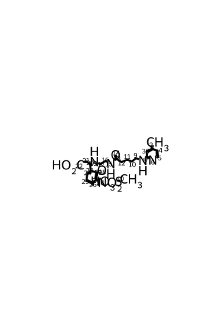 CS(=O)(=O)O.Cc1ccnc(NCCCCC(=O)NCC(=O)NC(CC(=O)O)c2cccc([N+](=O)[O-])c2)c1